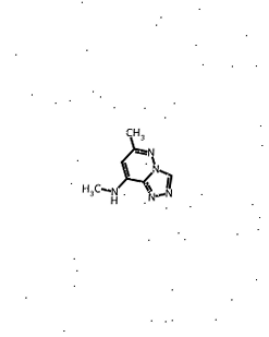 CNc1cc(C)nn2cnnc12